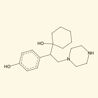 Oc1ccc(C(CN2CCNCC2)C2(O)CCCCC2)cc1